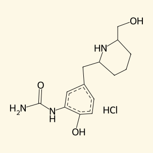 Cl.NC(=O)Nc1cc(CC2CCCC(CO)N2)ccc1O